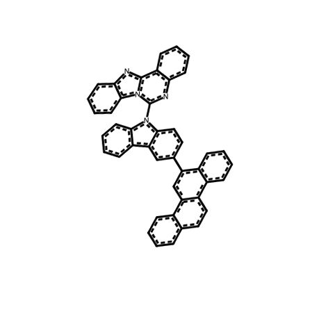 c1ccc2c(c1)ccc1c3ccccc3c(-c3ccc4c(c3)c3ccccc3n4-c3nc4ccccc4c4nc5ccccc5n34)cc21